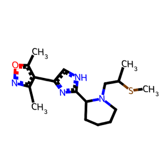 CSC(C)CN1CCCCC1c1nc(-c2c(C)noc2C)c[nH]1